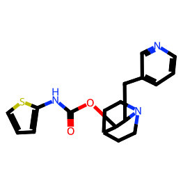 O=C(Nc1cccs1)OC1C2CCN(CC2)C1Cc1cccnc1